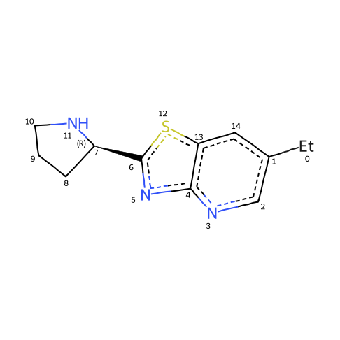 CCc1cnc2nc([C@H]3CCCN3)sc2c1